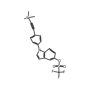 C[Si](C)(C)C#Cc1ccc(-n2ccc3cc(OS(=O)(=O)C(F)(F)F)ccc32)cc1